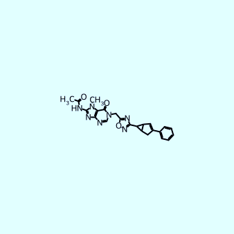 CC(=O)Nc1nc2ncn(Cc3nc(C4C5C=C(c6ccccc6)CC54)no3)c(=O)c2n1C